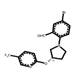 O=Cc1cc(Br)ccc1N1CC[C@H](Oc2ccc(C(F)(F)F)cn2)C1